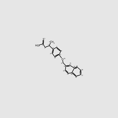 CC(CC(O)=S)c1ccc(OCc2ccc3ccccc3n2)cc1